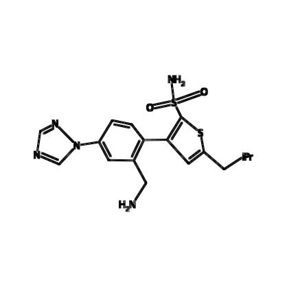 CC(C)Cc1cc(-c2ccc(-n3cncn3)cc2CN)c(S(N)(=O)=O)s1